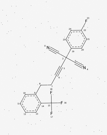 N#CC(C#N)(C#CCCc1ccccc1C(F)(F)F)c1ccc(F)cc1